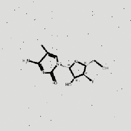 Cc1cn([C@@H]2O[C@H](CO)[C@@H](F)[C@H]2O)c(=O)nc1N